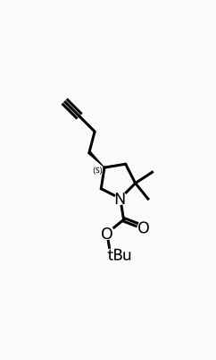 C#CCC[C@@H]1CN(C(=O)OC(C)(C)C)C(C)(C)C1